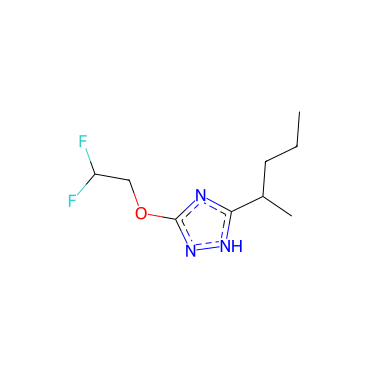 CCCC(C)c1nc(OCC(F)F)n[nH]1